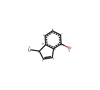 [Li][CH]1C=Cc2c(Br)cccc21